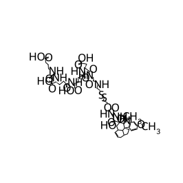 COc1ccc2c(c1)N(C)[C@H]1[C@@](O)(C(=O)NNC(=O)OCCSSCCNC(=O)CNC(=O)[C@H](CC(=O)O)NC(=O)CC[C@H](NC(=O)CC[C@H](NC(=O)NCCCC(=O)O)C(=O)O)C(=O)O)[C@H](O)C3C=CCC4CC[C@]21C43